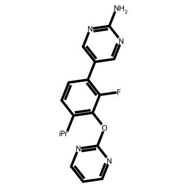 CC(C)c1ccc(-c2cnc(N)nc2)c(F)c1Oc1ncccn1